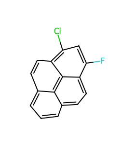 Fc1cc(Cl)c2ccc3cccc4ccc1c2c43